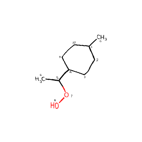 CC1CCC(C(C)OO)CC1